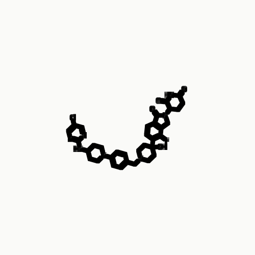 O=C1CCC(N2Cc3c(ccc(C4(O)CCN(Cc5ccc(N6CCC(Nc7ncc(Cl)cn7)CC6)cc5)CC4)c3F)C2=O)C(=O)N1